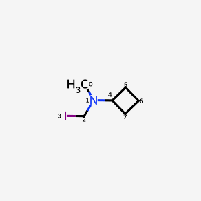 CN(CI)C1CCC1